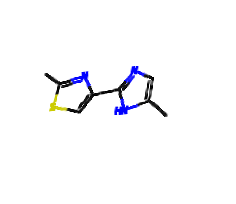 Cc1cnc(-c2csc(C)n2)[nH]1